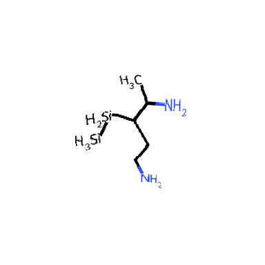 CC(N)C(CCN)[SiH2][SiH3]